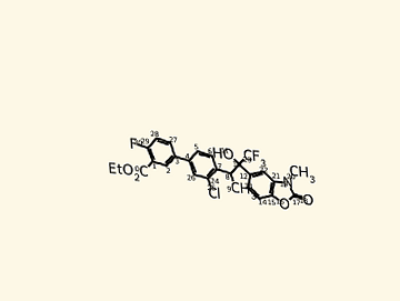 CCOC(=O)c1cc(-c2ccc(C(C)C(O)(c3ccc4oc(=O)n(C)c4c3)C(F)(F)F)c(Cl)c2)ccc1F